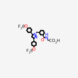 O=C(O)CNC(=O)c1cccc(Cn2nc(-c3ccc(OC(F)(F)F)cc3)cc2-c2ccc(OC(F)(F)F)cc2)c1